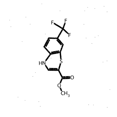 COC(=O)C1=CNc2ccc(C(F)(F)F)cc2S1